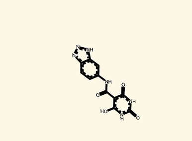 O=C(Nc1ccc2nn[nH]c2c1)c1c(O)[nH]c(=O)[nH]c1=O